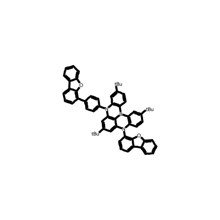 CC(C)(C)c1ccc2c(c1)B1c3ccc(C(C)(C)C)cc3N(c3ccc(-c4cccc5c4oc4ccccc45)cc3)c3cc(C(C)(C)C)cc(c31)N2c1cccc2c1oc1ccccc12